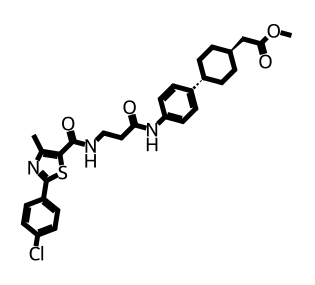 COC(=O)C[C@H]1CC[C@H](c2ccc(NC(=O)CCNC(=O)c3sc(-c4ccc(Cl)cc4)nc3C)cc2)CC1